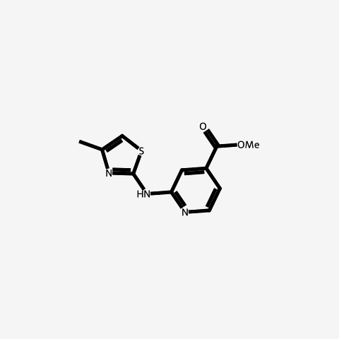 COC(=O)c1ccnc(Nc2nc(C)cs2)c1